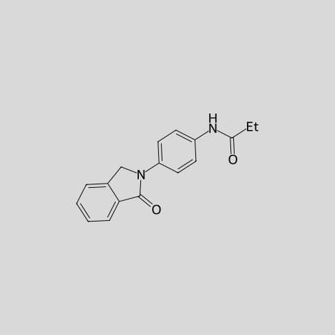 CCC(=O)Nc1ccc(N2Cc3ccccc3C2=O)cc1